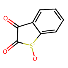 O=C1C(=O)[S+]([O-])c2ccccc21